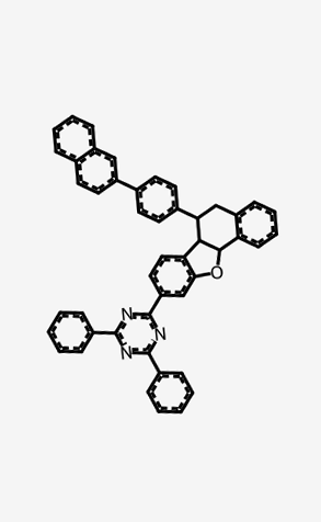 c1ccc(-c2nc(-c3ccccc3)nc(-c3ccc4c(c3)OC3c5ccccc5CC(c5ccc(-c6ccc7ccccc7c6)cc5)C43)n2)cc1